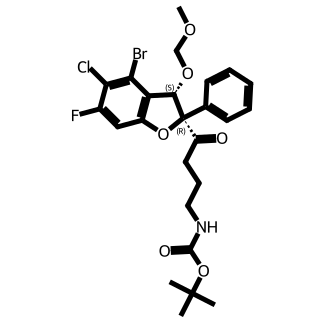 COCO[C@H]1c2c(cc(F)c(Cl)c2Br)O[C@]1(C(=O)CCCNC(=O)OC(C)(C)C)c1ccccc1